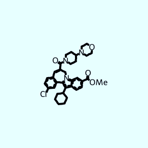 COC(=O)c1ccc2c(C3CCCCC3)c3n(c2c1)CC(C(=O)N1CCC(N2CCOCC2)CC1)=Cc1ccc(Cl)cc1-3